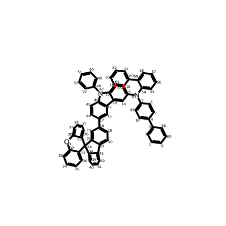 c1ccc(-c2ccc(N(c3ccc4c(c3)c3cc(-c5ccc6c(c5)C5(c7ccccc7Oc7ccccc75)c5ccccc5-6)ccc3n4-c3ccccc3)c3ccccc3-c3ccccc3)cc2)cc1